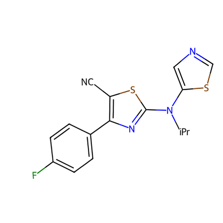 CC(C)N(c1cncs1)c1nc(-c2ccc(F)cc2)c(C#N)s1